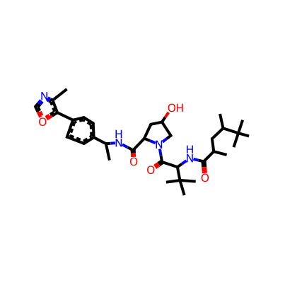 Cc1ncoc1-c1ccc(C(C)NC(=O)C2CC(O)CN2C(=O)C(NC(=O)C(C)CC(C)C(C)(C)C)C(C)(C)C)cc1